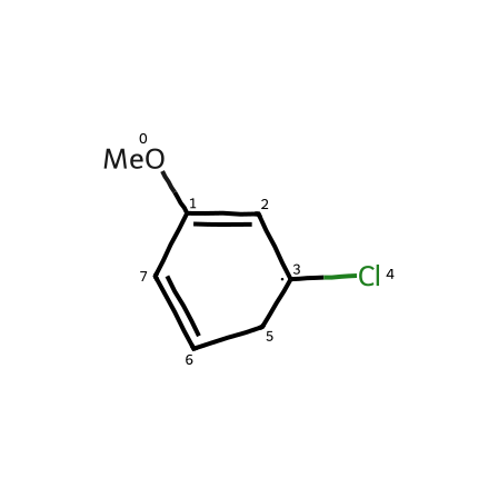 COC1=C[C](Cl)CC=C1